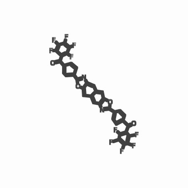 O=C(c1ccc(-c2nc3cc4cc5oc(-c6ccc(C(=O)c7c(F)c(F)c(F)c(F)c7F)cc6)nc5cc4cc3o2)cc1)c1c(F)c(F)c(F)c(F)c1F